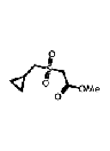 COC(=O)CS(=O)(=O)CC1CC1